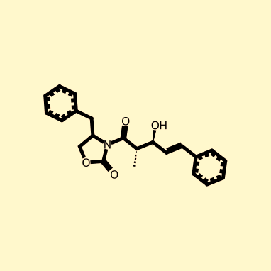 C[C@H](C(=O)N1C(=O)OCC1Cc1ccccc1)[C@@H](O)/C=C/c1ccccc1